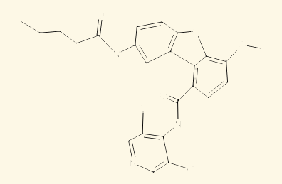 CCCCC(=O)Nc1ccc2oc3c(OC)ccc(C(=O)Nc4c(Cl)cncc4Cl)c3c2c1